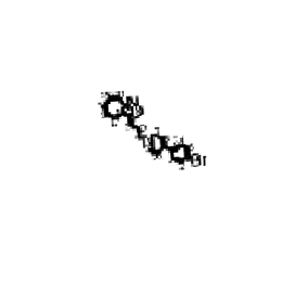 Brc1ccc(C2=CCN(CCCc3onc4c3CCCCC4)CC2)cc1